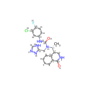 C[C@H](c1c[nH]c(=O)c2ccccc12)N(Cc1nnc[nH]1)C(=O)Nc1ccc(F)c(Cl)c1